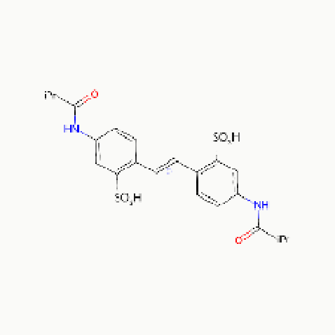 CC(C)C(=O)Nc1ccc(/C=C/c2ccc(NC(=O)C(C)C)cc2S(=O)(=O)O)c(S(=O)(=O)O)c1